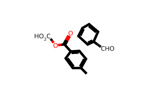 Cc1ccc(C(=O)OC(=O)O)cc1.O=Cc1ccccc1